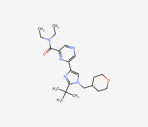 CCN(CC)C(=O)c1cncc(-c2cn(CC3CCOCC3)c(C(C)(C)C)n2)n1